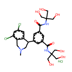 CN1Cc2c(Cl)cc(Cl)cc2C(c2cc(C(=O)NC(CO)(CO)CO)cc(C(=O)NC(CO)(CO)CO)c2)C1.Cl